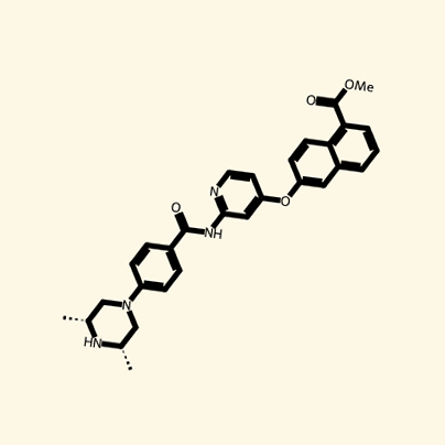 COC(=O)c1cccc2cc(Oc3ccnc(NC(=O)c4ccc(N5C[C@@H](C)N[C@@H](C)C5)cc4)c3)ccc12